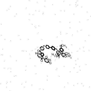 COc1ccc([C@]2(CCN(Cc3ccc(C4=CC[C@H](CN5CCN(C(=O)c6ccc7c8c6NCCn8c(=O)n7C6CCC(=O)NC6=O)CC5)CC4)cc3)CC(C)(C)C(F)(F)F)CCOC(C)(C)C2)cc1